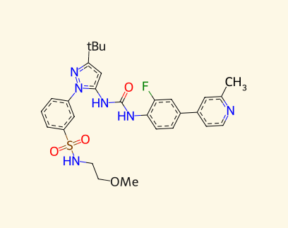 COCCNS(=O)(=O)c1cccc(-n2nc(C(C)(C)C)cc2NC(=O)Nc2ccc(-c3ccnc(C)c3)cc2F)c1